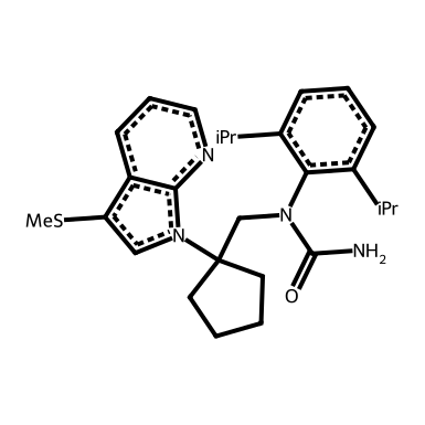 CSc1cn(C2(CN(C(N)=O)c3c(C(C)C)cccc3C(C)C)CCCC2)c2ncccc12